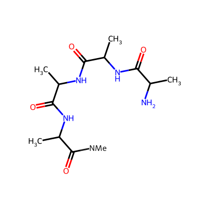 CNC(=O)C(C)NC(=O)C(C)NC(=O)C(C)NC(=O)C(C)N